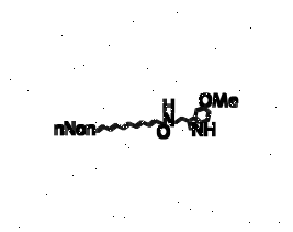 CCCCCCCCCC=CC=CC=CC=CC=CC(=O)NCCc1c[nH]c2ccc(OC)cc12